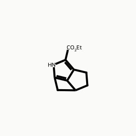 CCOC(=O)c1[nH]c2c3c1CCC3C2